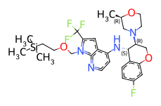 C[C@@H]1CN([C@H]2COc3cc(F)ccc3[C@@H]2Nc2ccnc3c2cc(C(F)(F)F)n3COCC[Si](C)(C)C)CCO1